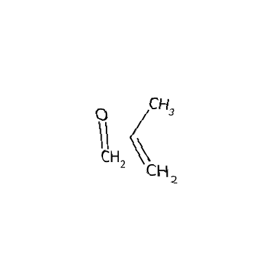 C=CC.C=O